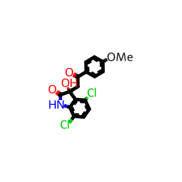 COc1ccc(C(=O)C[C@@]2(O)C(=O)Nc3c(Cl)ccc(Cl)c32)cc1